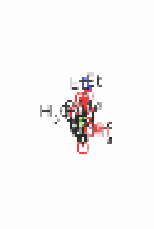 CCN(CC)CCOC(=O)OCC(=O)[C@H]1[C@H](OC(C)(C)OC)C[C@H]2[C@@H]3CCC4=CC(=O)C=C[C@]4(C)[C@@]3(F)[C@@H](O)C[C@@]21C